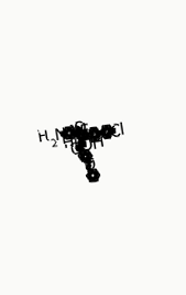 NC1CCN(C(=O)C(NC(O)C(=O)c2ccc(OCC3CCCCC3)cc2)C(F)(F)c2ccc(-c3ccc(Cl)cc3)cc2)CC1